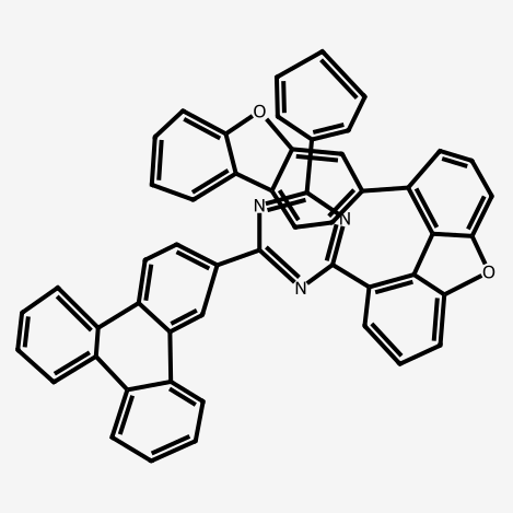 c1ccc(-c2nc(-c3ccc4c5ccccc5c5ccccc5c4c3)nc(-c3cccc4oc5cccc(-c6ccc7c(c6)oc6ccccc67)c5c34)n2)cc1